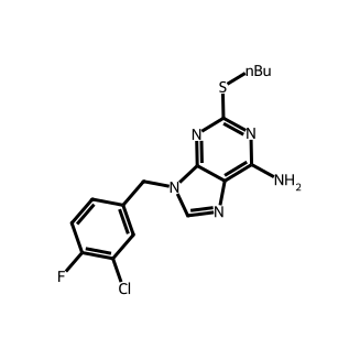 CCCCSc1nc(N)c2ncn(Cc3ccc(F)c(Cl)c3)c2n1